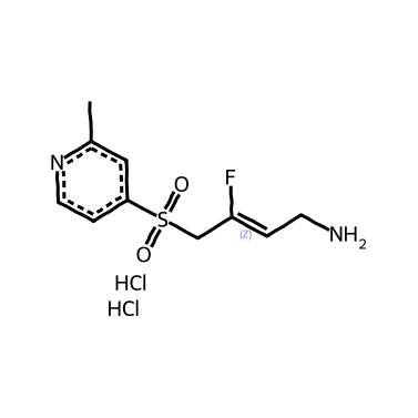 Cc1cc(S(=O)(=O)C/C(F)=C/CN)ccn1.Cl.Cl